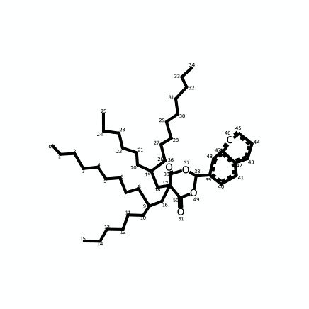 CCCCCCCCCC(CCCCCC)CC1(CC(CCCCCC)CCCCCCCCC)C(=O)OC(c2ccc3ccccc3c2)OC1=O